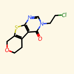 O=c1c2c3c(sc2ncn1CCCl)COCC3